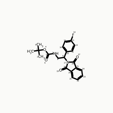 CC(C)(C)OC(=O)NCC(c1ccc(F)cc1)N1C(=O)c2ccccc2C1=O